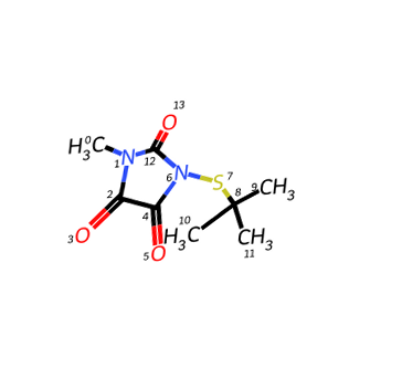 CN1C(=O)C(=O)N(SC(C)(C)C)C1=O